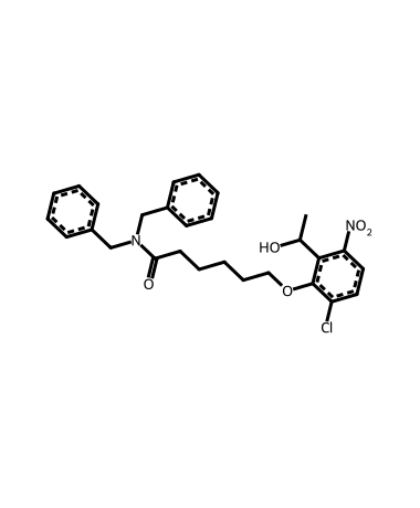 CC(O)c1c([N+](=O)[O-])ccc(Cl)c1OCCCCCC(=O)N(Cc1ccccc1)Cc1ccccc1